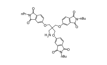 CCCCN1C(=O)c2ccc(OCC(CN)(COc3ccc4c(c3)C(=O)N(CCC)C4=O)COc3ccc4c(c3)C(=O)N(CCCC)C4=O)cc2C1=O